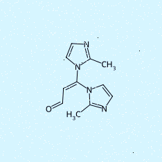 Cc1nccn1C(=CC=O)n1ccnc1C